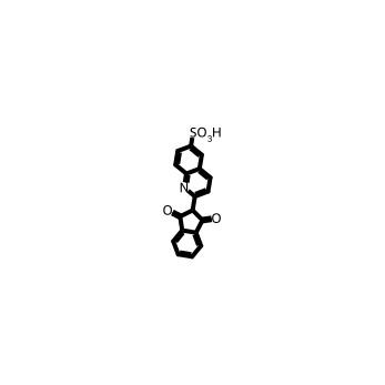 O=C1c2ccccc2C(=O)C1c1ccc2cc(S(=O)(=O)O)ccc2n1